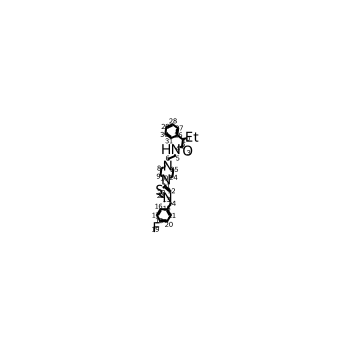 CCC(C(=O)NCCN1CCN(C2=CN(Cc3ccc(F)cc3)CS2)CC1)c1ccccc1